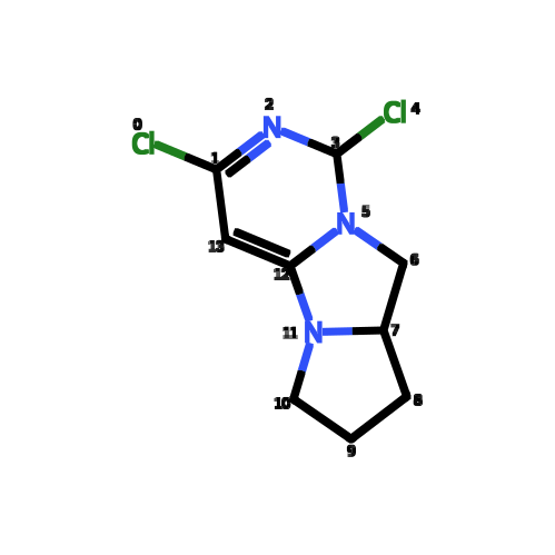 ClC1=NC(Cl)N2CC3CCCN3C2=C1